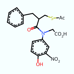 CC(=O)SCC(Cc1ccccc1)C(=O)N(CC(=O)O)c1ccc(O)c([N+](=O)[O-])c1